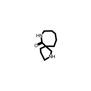 O=C1NCCCCCC12CCCNC2